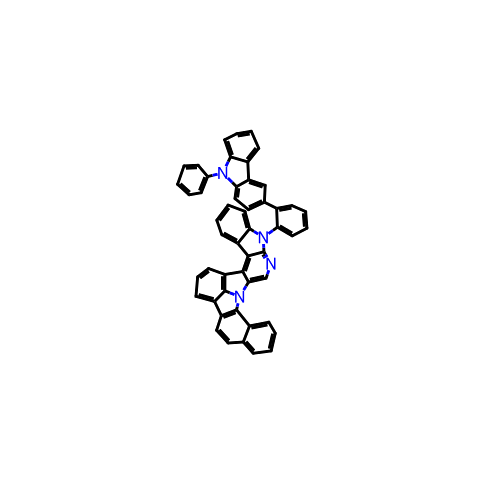 c1ccc(-n2c3ccccc3c3cc(-c4ccccc4-n4c5ccccc5c5c6c7cccc8c9ccc%10ccccc%10c9n(c6cnc54)c87)ccc32)cc1